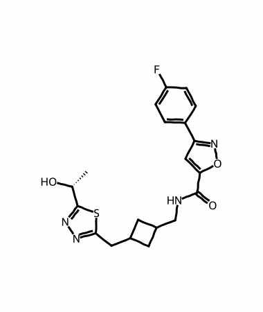 C[C@@H](O)c1nnc(CC2CC(CNC(=O)c3cc(-c4ccc(F)cc4)no3)C2)s1